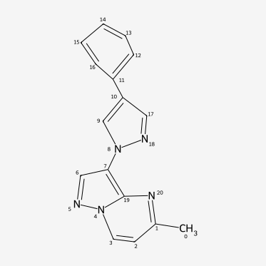 Cc1ccn2ncc(-n3cc(-c4ccccc4)cn3)c2n1